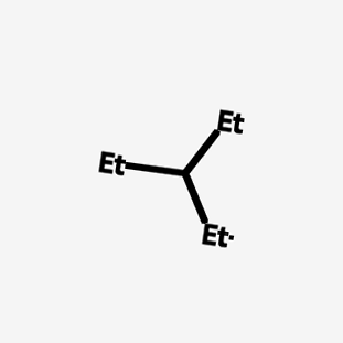 [CH2]CC([CH]C)CC